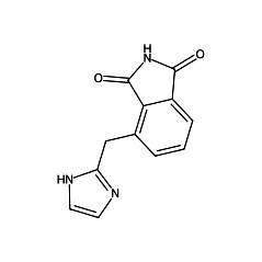 O=C1NC(=O)c2c(Cc3ncc[nH]3)cccc21